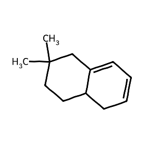 CC1(C)CCC2CC=CC=C2C1